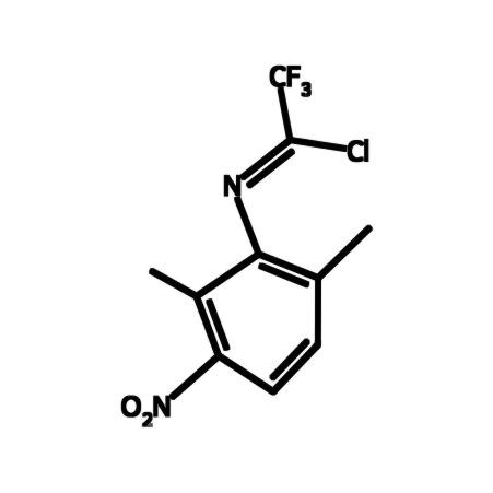 Cc1ccc([N+](=O)[O-])c(C)c1N=C(Cl)C(F)(F)F